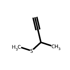 [C]#CC(C)SC